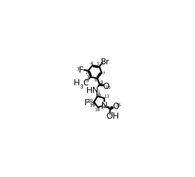 Cc1c(F)cc(Br)cc1C(=O)N[C@@H]1CN(C(=O)O)C[C@@H]1F